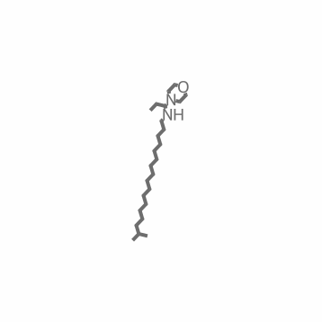 CCC(NCCCCCCCCCCCCCCCC(C)C)N1CCOCC1